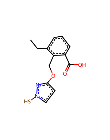 CCc1cccc(C(=O)O)c1COc1ccn(S)n1